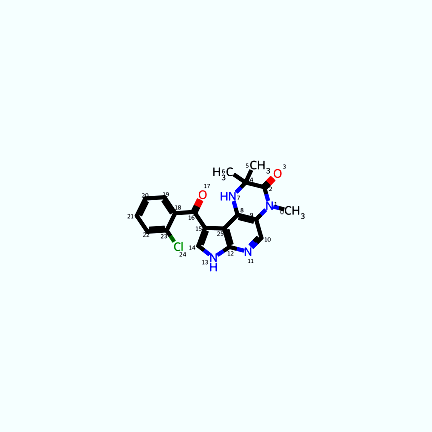 CN1C(=O)C(C)(C)Nc2c1cnc1[nH]cc(C(=O)c3ccccc3Cl)c21